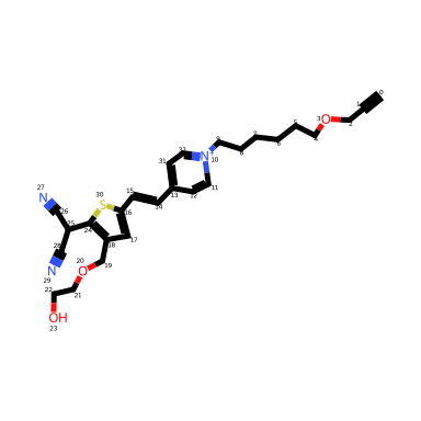 C#CCOCCCCCC[n+]1ccc(/C=C/c2cc(COCCO)c(C(C#N)C#N)s2)cc1